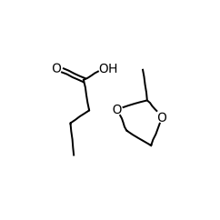 CC1OCCO1.CCCC(=O)O